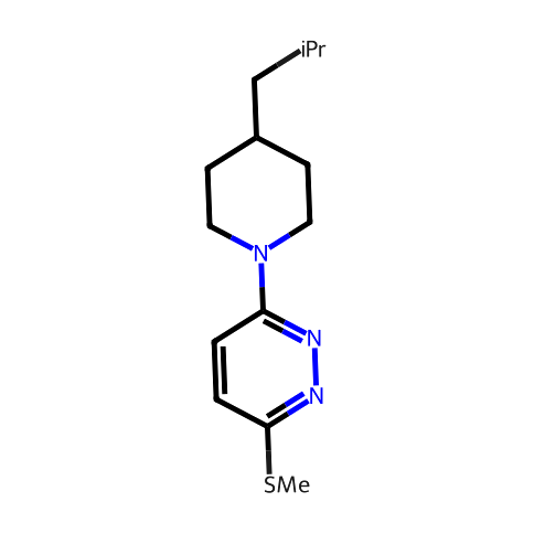 CSc1ccc(N2CCC(CC(C)C)CC2)nn1